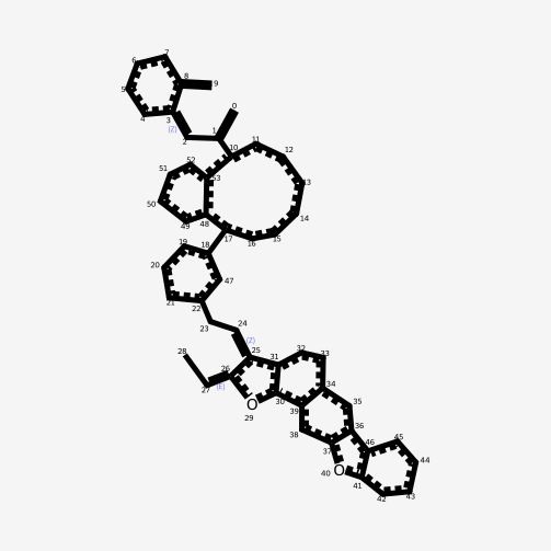 C=C(/C=c1/ccccc1=C)c1ccccccc(-c2cccc(C/C=c3\c(=C/C)oc4c3ccc3cc5c(cc34)oc3ccccc35)c2)c2ccccc12